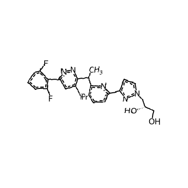 CC(C)c1cc(-c2c(F)cccc2F)nnc1C(C)c1cccc(-c2ccn(C[C@@H](O)CO)n2)n1